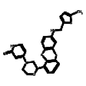 Cc1ccc(CNc2ccc3c(c2)Sc2cccc(C4CN(c5cc[nH]c(=O)c5)CCO4)c2S3)s1